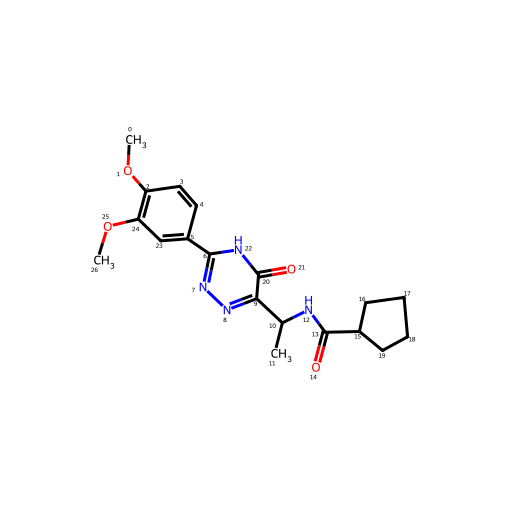 COc1ccc(-c2nnc(C(C)NC(=O)C3CCCC3)c(=O)[nH]2)cc1OC